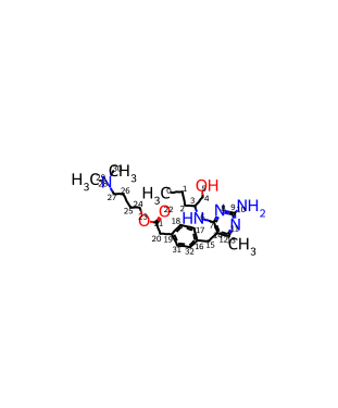 CCCC(CO)Nc1nc(N)nc(C)c1Cc1ccc(CC(=O)OCCCCN(C)C)cc1